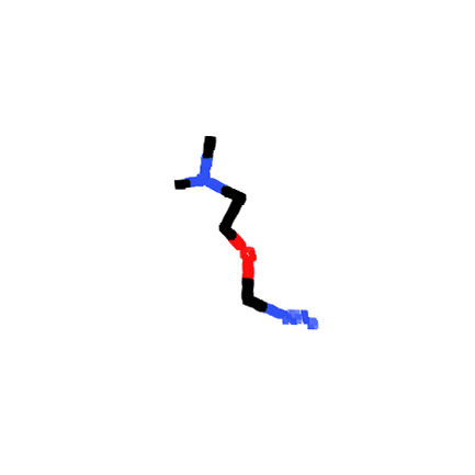 CN(C)CCOCN